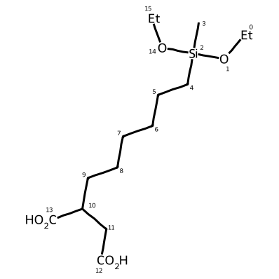 CCO[Si](C)(CCCCCCC(CC(=O)O)C(=O)O)OCC